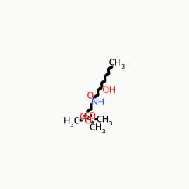 CCCCCCCC(O)CCC(=O)NCCC[Si](OCC)(OCC)OCC